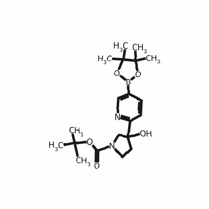 CC(C)(C)OC(=O)N1CCC(O)(c2ccc(B3OC(C)(C)C(C)(C)O3)cn2)C1